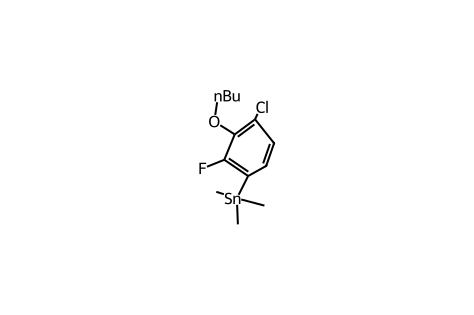 CCCCOc1c(Cl)cc[c]([Sn]([CH3])([CH3])[CH3])c1F